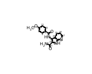 COc1ccc(C(=O)Nc2c(C(N)=O)[nH]c3ncccc23)cc1